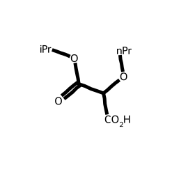 CCCOC(C(=O)O)C(=O)OC(C)C